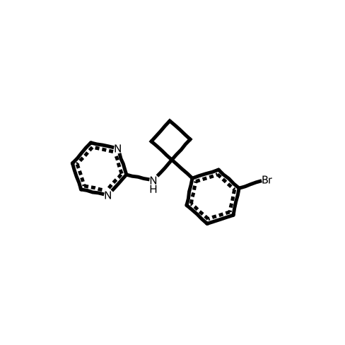 Brc1cccc(C2(Nc3ncccn3)CCC2)c1